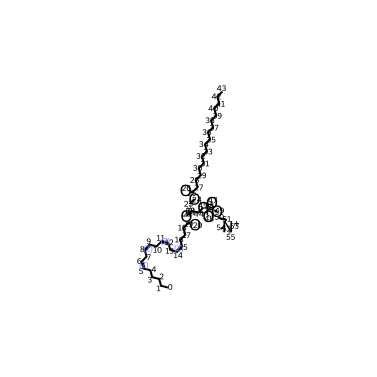 CCCCC/C=C\C/C=C\C/C=C\C/C=C\CCCC(=O)O[C@H](COC(=O)CCCCCCCCCCCCCCCCC)COP(=O)([O-])OCC[N+](C)(C)C